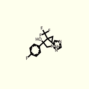 OC(Cn1cncn1)(c1ccc(F)cc1)C1(C(F)(F)F)CC1S